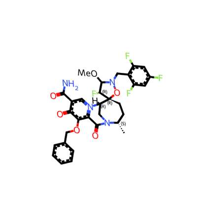 COC1[C@H](F)[C@]2(CC[C@H](C)N3C[C@H]2n2cc(C(N)=O)c(=O)c(OCc4ccccc4)c2C3=O)ON1Cc1c(F)cc(F)cc1F